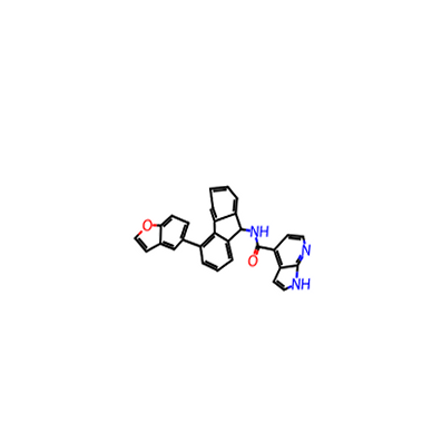 O=C(NC1c2ccccc2-c2c(-c3ccc4occc4c3)cccc21)c1ccnc2[nH]ccc12